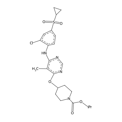 Cc1c(Nc2ccc(S(=O)(=O)C3CC3)cc2Cl)ncnc1OC1CCN(C(=O)OC(C)C)CC1